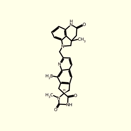 Bc1c2c(cc3ccc(CN4CC5(C)CC(=O)Nc6cccc4c65)nc13)C[C@@]1(C2)C(=O)NC(=O)N1C